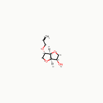 C=CCO[C@H]1CO[C@H]2[C@@H]1OC[C@H]2O